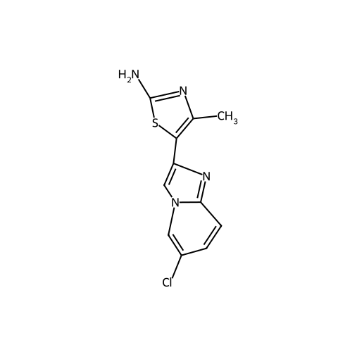 Cc1nc(N)sc1-c1cn2cc(Cl)ccc2n1